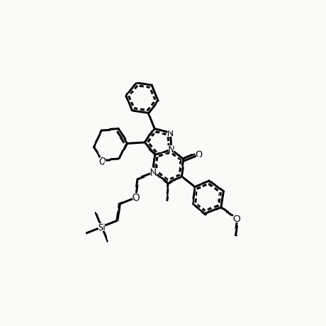 COc1ccc(-c2c(C)n(COCC[Si](C)(C)C)c3c(C4=CCCOC4)c(-c4ccccc4)nn3c2=O)cc1